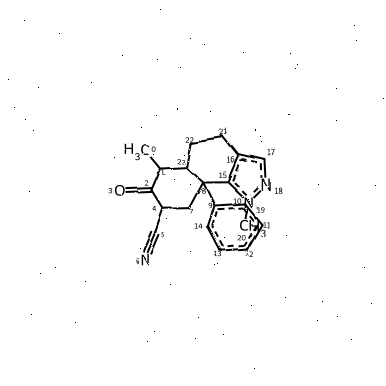 CC1C(=O)C(C#N)CC2(c3ccccc3)c3c(cnn3C)CCC12